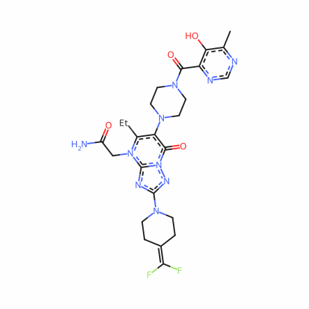 CCc1c(N2CCN(C(=O)c3ncnc(C)c3O)CC2)c(=O)n2nc(N3CCC(=C(F)F)CC3)nc2n1CC(N)=O